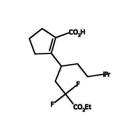 CCOC(=O)C(F)(F)CC(CCC(C)C)C1=C(C(=O)O)CCC1